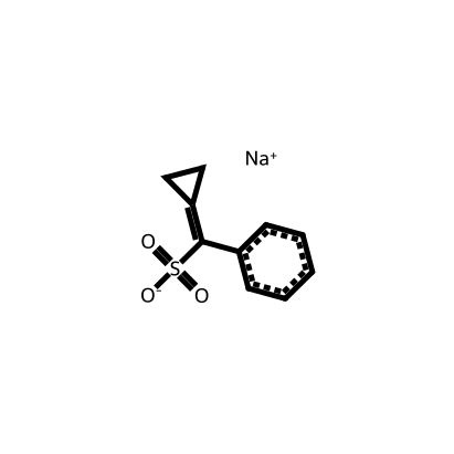 O=S(=O)([O-])C(=C1CC1)c1ccccc1.[Na+]